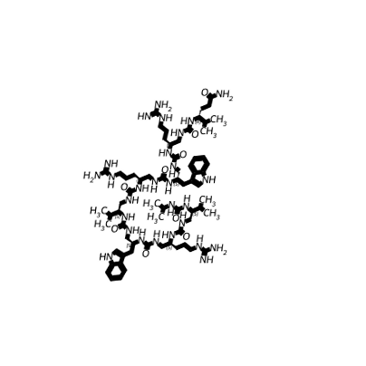 CC(C)NC(=O)N[C@H](CNC(=O)N[C@@H](CCCNC(=N)N)CNC(=O)N[C@H](CNC(=O)N[C@H](CNC(=O)N[C@@H](CCCNC(=N)N)CNC(=O)N[C@H](CNC(=O)N[C@@H](CCCNC(=N)N)CNC(=O)N[C@H](CCC(N)=O)C(C)C)Cc1c[nH]c2ccccc12)C(C)C)Cc1c[nH]c2ccccc12)C(C)C